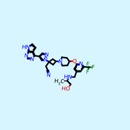 C[C@H](CO)NCc1cc(OC2CCN(C3CC(CC#N)(n4cc(-c5ncnc6[nH]ccc56)cn4)C3)CC2)nc(C(F)(F)F)c1